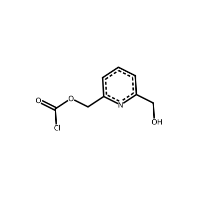 O=C(Cl)OCc1cccc(CO)n1